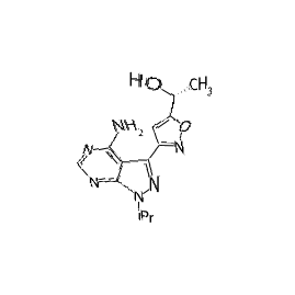 CC(C)n1nc(-c2cc([C@@H](C)O)on2)c2c(N)ncnc21